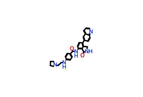 O=C(Nc1ccc(-c2ccc3ncccc3c2)c2c1C(=O)NC2)c1ccc(NCCN2CCCC2)cc1